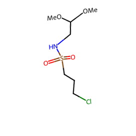 COC(CNS(=O)(=O)CCCCl)OC